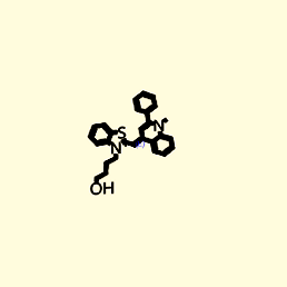 CN1C(c2ccccc2)=C/C(=C\c2sc3ccccc3[n+]2CCCCO)c2ccccc21